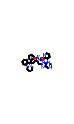 CC(CC(c1ccccc1)(c1ccccc1)N1CCCCC1)C(Cc1nc2cncnc2n1Cc1ccccn1)N(C)C